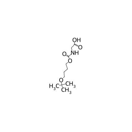 CC(C)(C)OCCCCOC(=O)NCC(=O)O